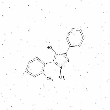 Cc1ccccc1-c1c(O)c(-c2ccccc2)nn1C